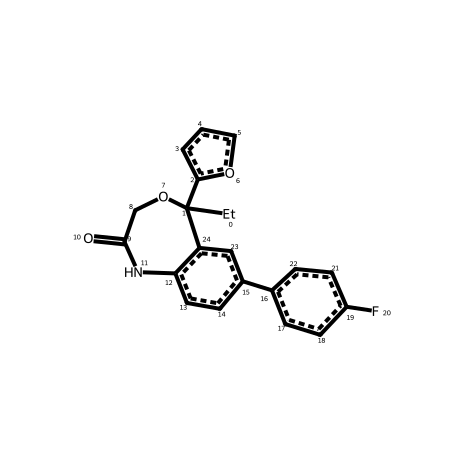 CCC1(c2ccco2)OCC(=O)Nc2ccc(-c3ccc(F)cc3)cc21